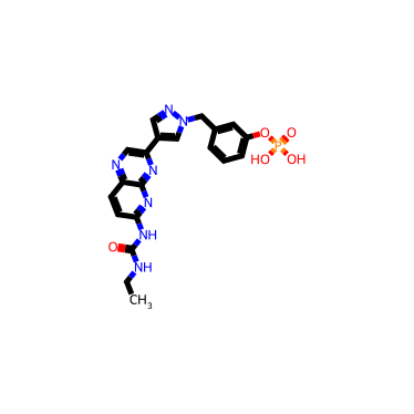 CCNC(=O)Nc1ccc2ncc(-c3cnn(Cc4cccc(OP(=O)(O)O)c4)c3)nc2n1